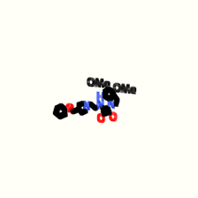 COc1ccc2c(c1OC)CCN2c1c(NCCN2CCC(COc3ccccc3)CC2)c(=O)c1=O